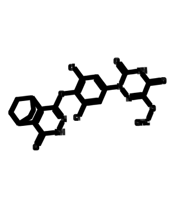 O=COc1nn(-c2cc(Cl)c(Oc3n[nH]c(=O)c4c3C3CCC4CC3)c(Cl)c2)c(=O)[nH]c1=O